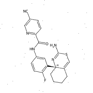 N#Cc1ccc(C(=O)Nc2ccc(F)c([C@]34CCCCC3=CSC(N)=N4)c2)nc1